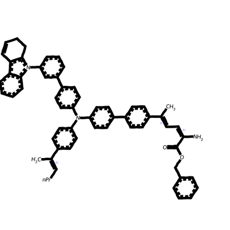 CCC/C=C(\C)c1ccc(N(c2ccc(-c3ccc(/C(C)=C/C=C(/N)C(=O)OCc4ccccc4)cc3)cc2)c2ccc(-c3cccc(-n4c5c(c6ccccc64)C=CCC5)c3)cc2)cc1